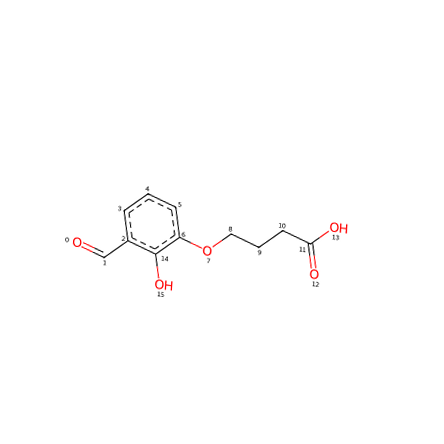 O=Cc1cccc(OCCCC(=O)O)c1O